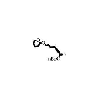 CCCCOC(=O)C#CCCCCOC1CCCCO1